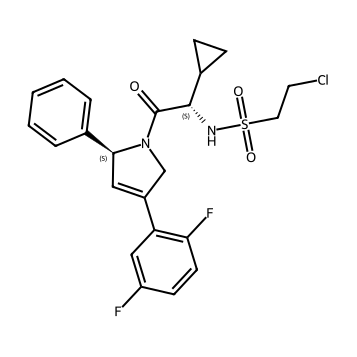 O=C([C@@H](NS(=O)(=O)CCCl)C1CC1)N1CC(c2cc(F)ccc2F)=C[C@H]1c1ccccc1